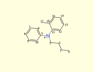 CCCCN(c1ccccc1)c1ccccc1C